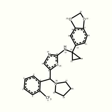 FC(F)(F)c1ccccc1C(c1cnc(NC2(c3ccc4c(c3)OCO4)CC2)s1)N1CCCC1